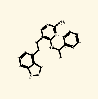 CC(Nc1nc(N)ncc1CCc1cccc2c1COO2)c1ccccc1